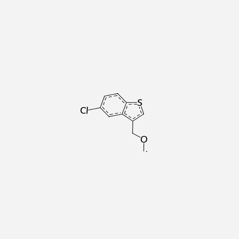 [CH2]OCc1csc2ccc(Cl)cc12